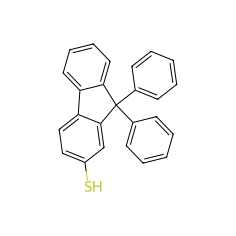 Sc1ccc2c(c1)C(c1ccccc1)(c1ccccc1)c1ccccc1-2